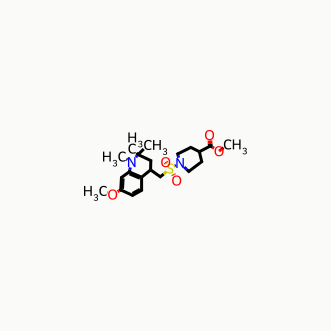 COC(=O)C1CCN(S(=O)(=O)CC2CC(C)(C)N(C)c3cc(OC)ccc32)CC1